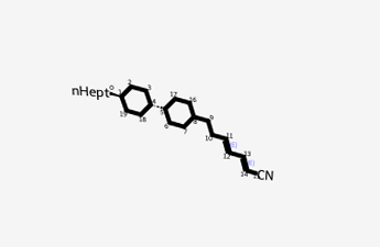 CCCCCCC[C@H]1CC[C@H](C2CCC(CC/C=C/C=C/C#N)CC2)CC1